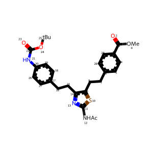 COC(=O)c1ccc(CCc2sc(NC(C)=O)nc2CCc2ccc(NC(=O)OC(C)(C)C)cc2)cc1